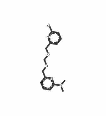 CN(C)c1cccc(COCOCc2cccc(Cl)n2)n1